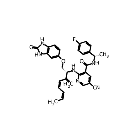 C=C(/C=C\C=C/C)[C@H](COc1ccc2[nH]c(=O)[nH]c2c1)Nc1ncc(C#N)cc1C(=O)N[C@@H](C)c1ccc(F)cc1